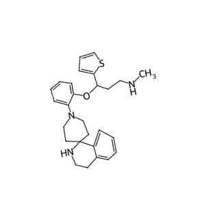 CNCCC(Oc1ccccc1N1CCC2(CC1)NCCc1ccccc12)c1cccs1